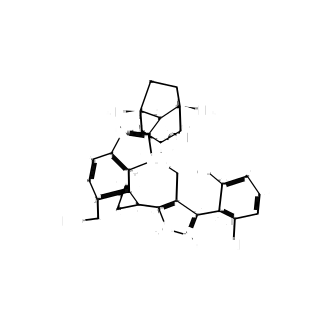 OCc1ccc2nc([C@]3(O)[C@@H]4CC[C@H]3C[C@@H](OCc3c(-c5c(Cl)cccc5Cl)noc3C3CC3)C4)sc2c1